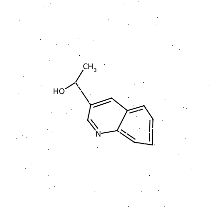 CC(O)c1cnc2c[c]ccc2c1